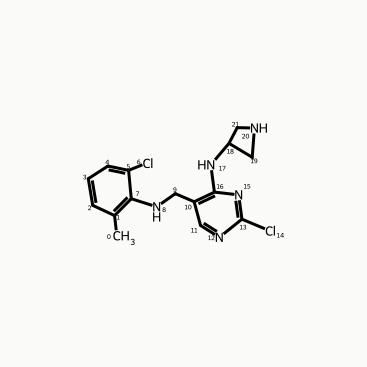 Cc1cccc(Cl)c1NCc1cnc(Cl)nc1NC1CNC1